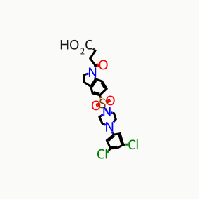 O=C(O)CCC(=O)N1CCc2cc(S(=O)(=O)N3CCN(c4cc(Cl)cc(Cl)c4)CC3)ccc21